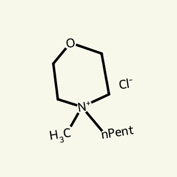 CCCCC[N+]1(C)CCOCC1.[Cl-]